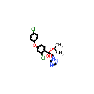 CC(C)OC(O)(Cn1cncn1)c1ccc(Oc2ccc(Cl)cc2)cc1Cl